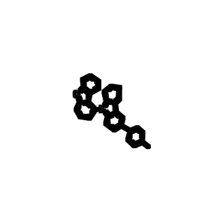 Cc1ccc(-c2ccc3c(c2)c2ccccc2n3-c2cccc3oc4ccccc4c23)cc1